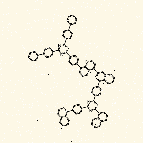 c1ccc(-c2ccc(-c3nc(-c4ccc(-c5ccccc5)cc4)nc(-c4ccc(-c5cccc6c(-c7cc8ccccc8c(-c8ccc(-c9nc(-c%10ccc(-c%11nccc%12ccccc%11%12)cc%10)nc(-c%10cccc%11ccccc%10%11)n9)cc8)n7)ccnc56)cc4)n3)cc2)cc1